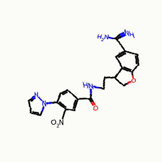 N=C(N)c1ccc2c(c1)C(CCNC(=O)c1ccc(-n3cccn3)c([N+](=O)[O-])c1)CO2